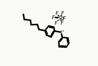 CCCCCCc1ccc([I+]c2ccccc2)cc1.[F][Sb-]([F])([F])([F])([F])[F]